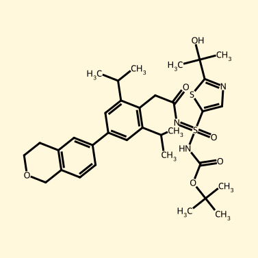 CC(C)c1cc(-c2ccc3c(c2)CCOC3)cc(C(C)C)c1CC(=O)N=S(=O)(NC(=O)OC(C)(C)C)c1cnc(C(C)(C)O)s1